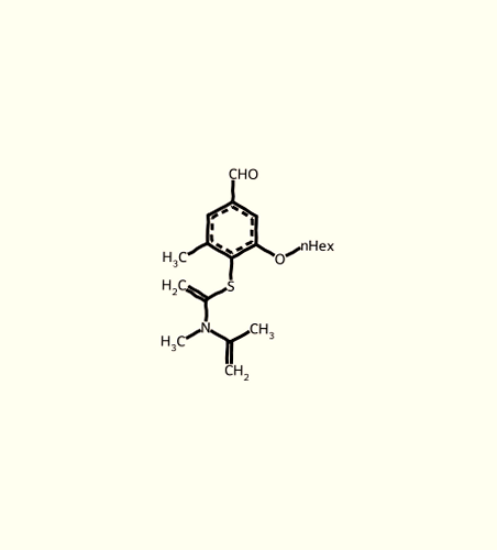 C=C(C)N(C)C(=C)Sc1c(C)cc(C=O)cc1OCCCCCC